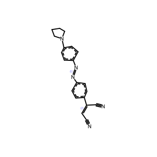 N#C/C=C(\C#N)c1ccc(/N=N/c2ccc(N3CCCC3)cc2)cc1